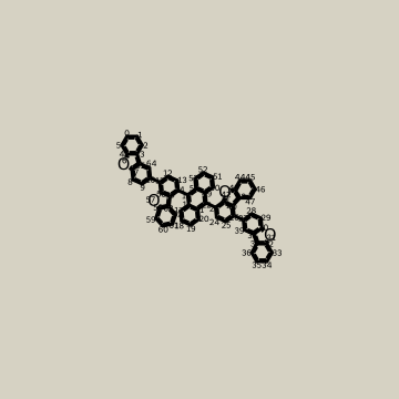 c1ccc2c(c1)oc1ccc(-c3ccc(-c4c5ccccc5c(-c5ccc(-c6ccc7oc8ccccc8c7c6)c6c5oc5ccccc56)c5ccccc45)c4c3oc3ccccc34)cc12